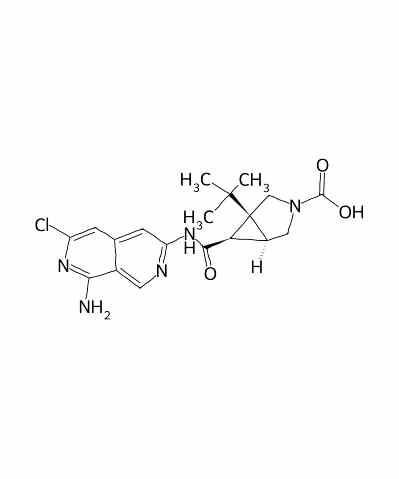 CC(C)(C)[C@@]12CN(C(=O)O)C[C@H]1[C@H]2C(=O)Nc1cc2cc(Cl)nc(N)c2cn1